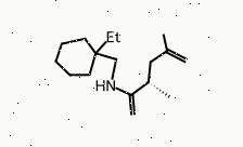 C=C(C)C[C@H](C)C(=C)NCC1(CC)CCCCC1